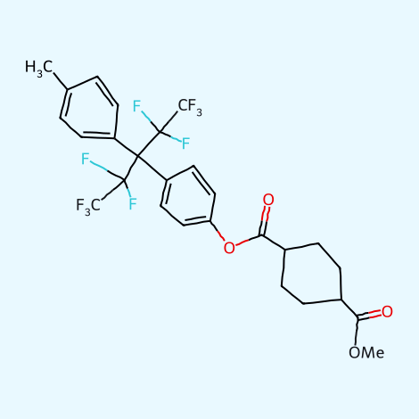 COC(=O)C1CCC(C(=O)Oc2ccc(C(c3ccc(C)cc3)(C(F)(F)C(F)(F)F)C(F)(F)C(F)(F)F)cc2)CC1